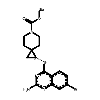 CC(C)(C)OC(=O)N1CCC2(CC1)C[C@H]2Nc1nc(N)nc2cc(Br)ccc12